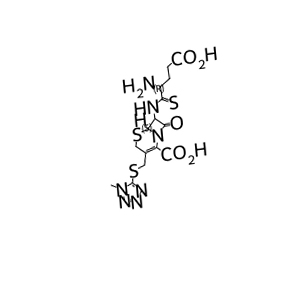 Cn1nnnc1SCC1=C(C(=O)O)N2C(=O)C(NC(=S)[C@H](N)CCC(=O)O)[C@@H]2SC1